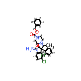 CC(N1CCN(C(=O)OCc2ccccc2)CC1)C1(c2ccccc2Cl)C(=O)N(N)c2ccc(Cl)cc21